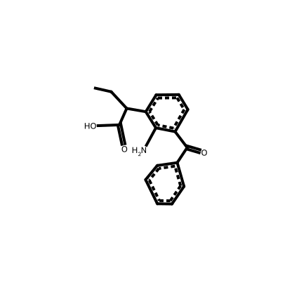 CCC(C(=O)O)c1cccc(C(=O)c2ccccc2)c1N